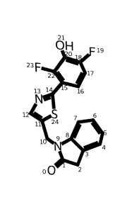 O=C1Cc2ccccc2N1Cc1cnc(-c2ccc(F)c(O)c2F)s1